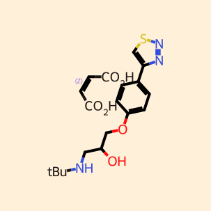 CC(C)(C)NCC(O)COc1ccc(-c2csnn2)cc1.O=C(O)/C=C\C(=O)O